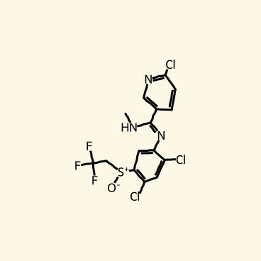 CN/C(=N\c1cc([S+]([O-])CC(F)(F)F)c(Cl)cc1Cl)c1ccc(Cl)nc1